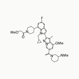 C=C(c1cc(OC)c2c(C)c(-c3cc4cc(F)cc(C5CCN(C(=O)COC)CC5)c4n3CC3CC3)nn2c1)N1CCCC(NC)C1